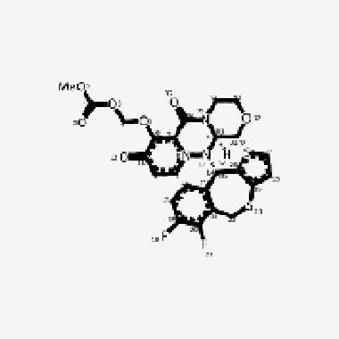 COC(=O)OCOc1c2n(ccc1=O)N([C@H]1c3ccc(F)c(F)c3CSc3ccsc31)[C@@H]1COCCN1C2=O